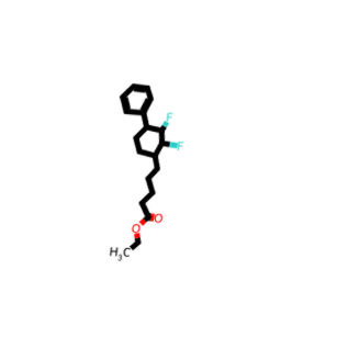 CCOC(=O)CCCCC1CCC(c2ccccc2)C(F)C1F